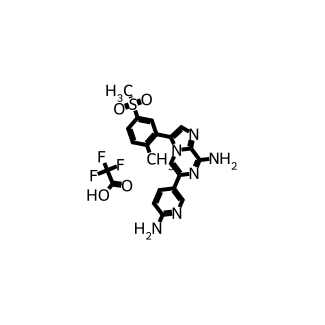 Cc1ccc(S(C)(=O)=O)cc1-c1cnc2c(N)nc(-c3ccc(N)nc3)cn12.O=C(O)C(F)(F)F